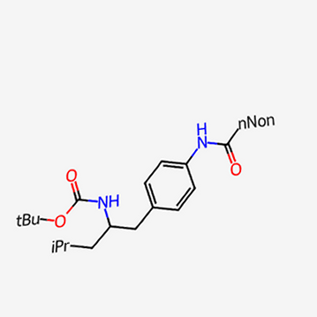 CCCCCCCCCC(=O)Nc1ccc(CC(CC(C)C)NC(=O)OC(C)(C)C)cc1